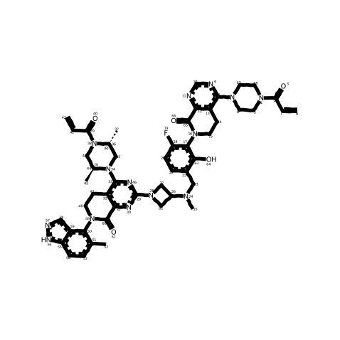 C=CC(=O)N1CCN(c2ncnc3c2CCN(c2c(F)ccc(CN(C)C4CN(c5nc6c(c(N7C[C@@H](C)N(C(=O)C=C)C[C@@H]7C)n5)CCN(c5c(C)ccc7[nH]ncc57)C6=O)C4)c2O)C3=O)CC1